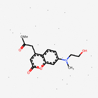 COC(=O)Cc1cc(=O)oc2cc(N(C)CCO)ccc12